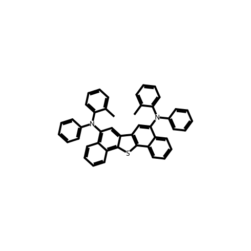 Cc1ccccc1N(c1ccccc1)c1cc2c3cc(N(c4ccccc4)c4ccccc4C)c4ccccc4c3sc2c2ccccc12